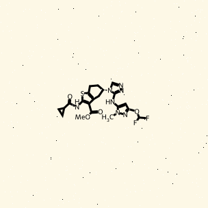 COC(=O)c1c(NC(=O)C2CC2)sc2c1C[C@@H](n1cnnc1Nc1cc(OC(F)F)nn1C)CC2